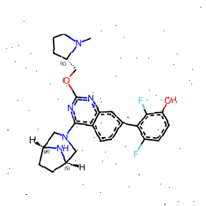 CN1CCC[C@H]1COc1nc(N2C[C@H]3CC[C@@H](C2)N3)c2ccc(-c3c(F)ccc(O)c3F)cc2n1